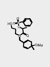 COC1(C)C=CC(CN(CCCO)C(=O)C(C)OS(=O)(=O)c2ccccc2)=CC1